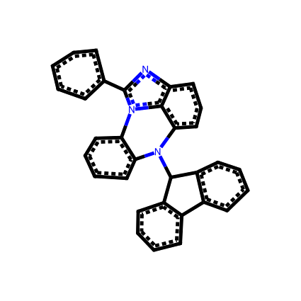 c1ccc(-c2nc3cccc4c3n2-c2ccccc2N4C2c3ccccc3-c3ccccc32)cc1